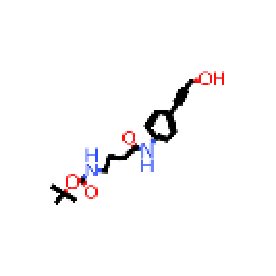 CC(C)(C)OC(=O)NCCCC(=O)Nc1ccc(C#CCO)cc1